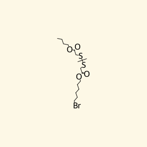 CCCCOC(=O)CSC(C)(C)SCC(=O)OCCCCCCBr